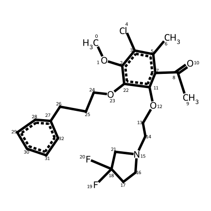 COc1c(Cl)c(C)c(C(C)=O)c(OCCN2CCC(F)(F)C2)c1OCCCc1ccccc1